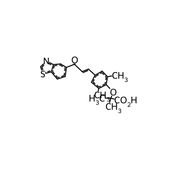 Cc1cc(C=CC(=O)c2ccc3scnc3c2)cc(C)c1OC(C)(C)C(=O)O